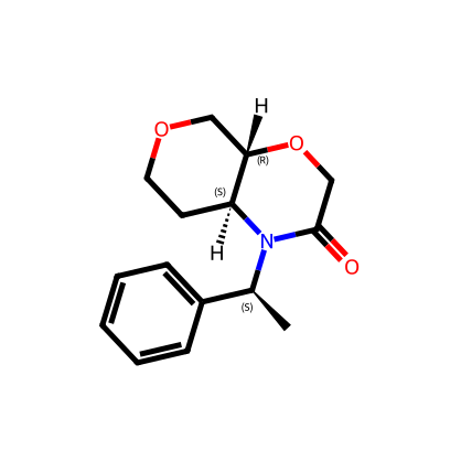 C[C@@H](c1ccccc1)N1C(=O)CO[C@H]2COCC[C@@H]21